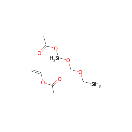 C=COC(C)=O.CC(=O)O[SiH2]OCOC[SiH3]